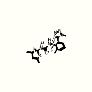 Cc1cc(C)nc(NC(=O)NS(=O)(=O)c2c(C)cccc2-c2nnnn2C)n1